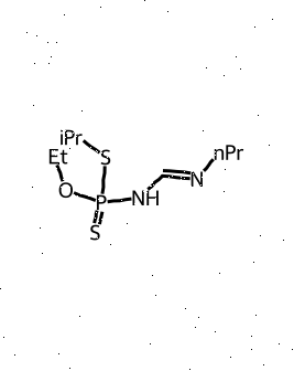 CCCN=CNP(=S)(OCC)SC(C)C